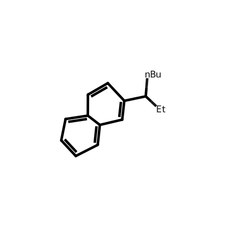 [CH2]CC(CCCC)c1ccc2ccccc2c1